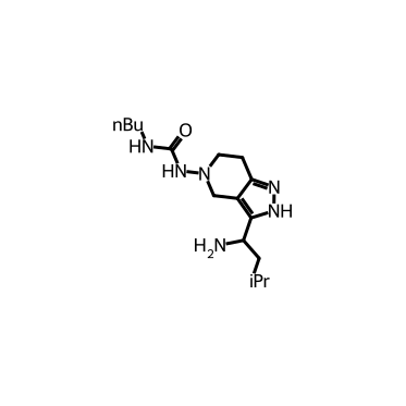 CCCCNC(=O)NN1CCc2n[nH]c(C(N)CC(C)C)c2C1